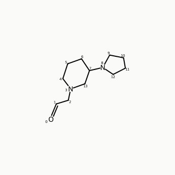 O=CCN1CCCC(N2CCCC2)C1